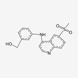 CS(=O)(=O)c1ccc2nccc(Nc3cccc(CO)c3)c2c1